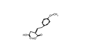 COc1ccc(CC=C(CC(=O)O)C(=O)O)cc1